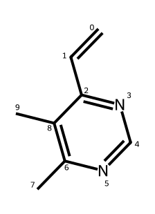 C=Cc1ncnc(C)c1C